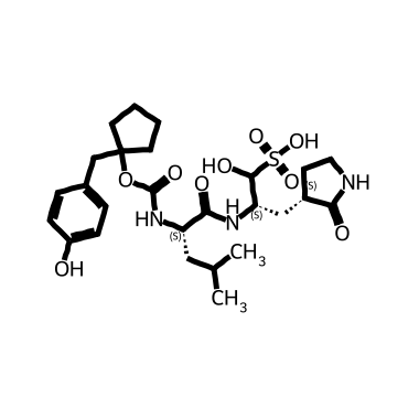 CC(C)C[C@H](NC(=O)OC1(Cc2ccc(O)cc2)CCCC1)C(=O)N[C@@H](C[C@@H]1CCNC1=O)C(O)S(=O)(=O)O